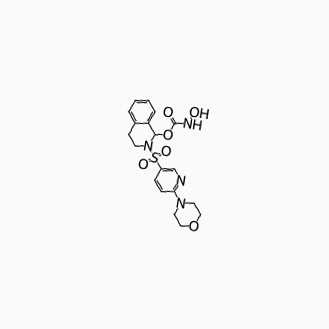 O=C(NO)OC1c2ccccc2CCN1S(=O)(=O)c1ccc(N2CCOCC2)nc1